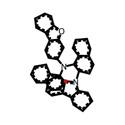 c1ccc2c(N(c3ccc4c(c3)oc3ccccc34)c3c(-n4c5ccccc5c5ccccc54)ccc4ccccc34)cccc2c1